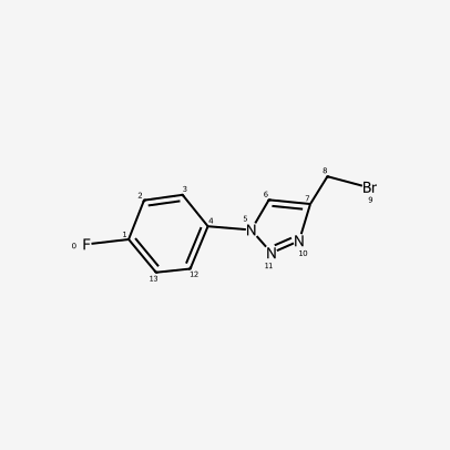 Fc1ccc(-n2cc(CBr)nn2)cc1